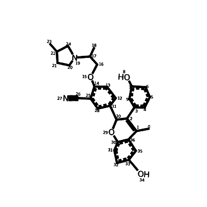 CC1=C(c2cccc(O)c2)C(c2ccc(OCC(C)N3CCC(C)C3)c(C#N)c2)Oc2ccc(O)cc21